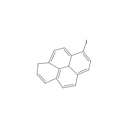 IC1=CC=C2C=CC3=C4C(=CC=C1C24)CC=C3